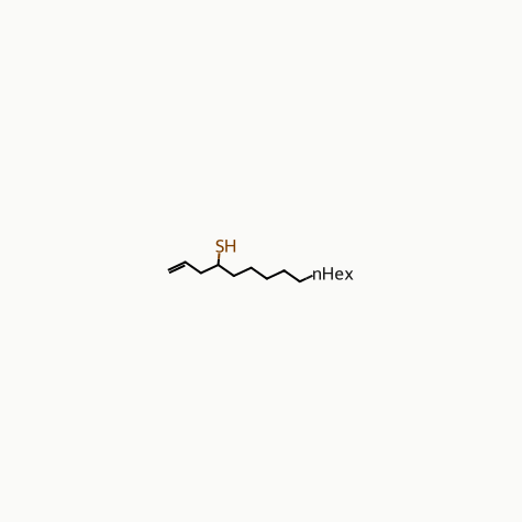 C=CCC(S)CCCCCCCCCCC